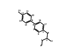 CCC(C)Cc1ccc(-c2ccc(C)cc2)cc1